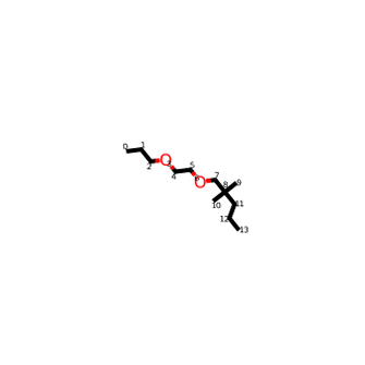 CCCOCCOCC(C)(C)CCC